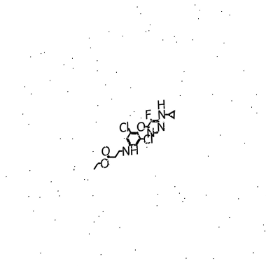 CCOC(=O)CCNc1cc(Cl)c(Oc2ncnc(NC3CC3)c2F)c(Cl)c1